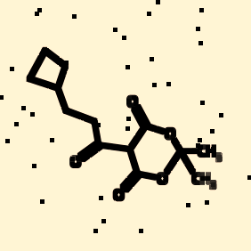 CC1(C)OC(=O)C(C(=O)CCC2CCC2)C(=O)O1